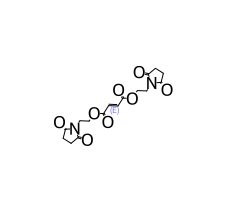 O=C(/C=C/C(=O)OCCN1C(=O)CCC1=O)OCCN1C(=O)CCC1=O